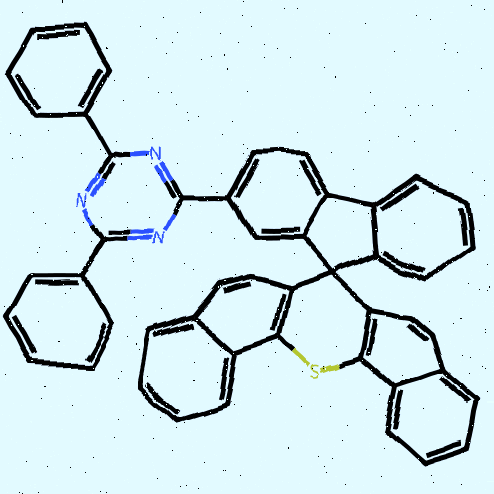 c1ccc(-c2nc(-c3ccccc3)nc(-c3ccc4c(c3)C3(c5ccccc5-4)c4ccc5ccccc5c4Sc4c3ccc3ccccc43)n2)cc1